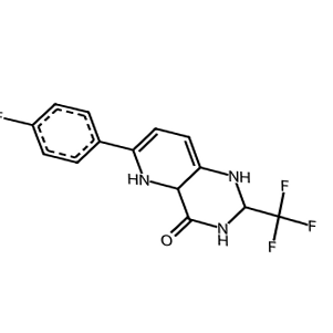 O=C1NC(C(F)(F)F)NC2=CC=C(c3ccc(F)cc3)NC12